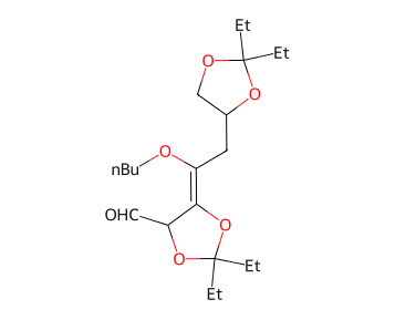 CCCCO/C(CC1COC(CC)(CC)O1)=C1/OC(CC)(CC)OC1C=O